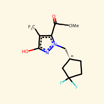 COC(=O)c1c(C(F)(F)F)c(O)nn1C[C@@H]1CCC(F)(F)C1